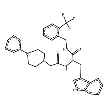 O=C(CN1CCN(c2ccccc2)CC1)NC(Cc1c[nH]c2ccccc12)C(=O)NCc1ccccc1C(F)(F)F